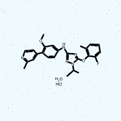 COc1cc(Nc2nc(Oc3c(C)cccc3F)n(C(C)C)n2)ccc1-c1ccnc(C)c1.Cl.O